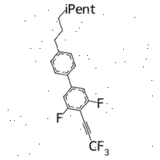 CCCC(C)CCCc1ccc(-c2cc(F)c(C#CC(F)(F)F)c(F)c2)cc1